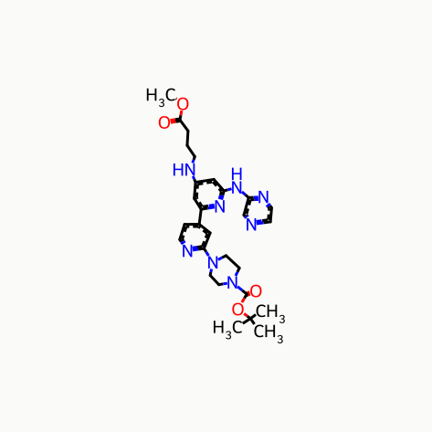 COC(=O)CCCNc1cc(Nc2cnccn2)nc(-c2ccnc(N3CCN(C(=O)OC(C)(C)C)CC3)c2)c1